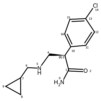 NC(=O)[C@@H](CNCC1CC1)c1ccc(Cl)cc1